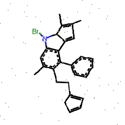 CC1=C(C)C2C(=C1)c1c(cc(C)c(CCC3=CC=CC3)c1-c1ccccc1)N2Br